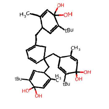 CC1=CC(O)(O)C(C(C)(C)C)=CC1CC1=CC=CC(CC2C=C(C(C)(C)C)C(O)(O)C=C2C)(CC2C=C(C(C)(C)C)C(O)(O)C=C2C)C1